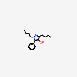 CCCCc1nn(CCCC)c(-c2ccccc2)c1O